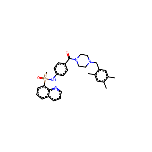 Cc1cc(C)c(CN2CCN(C(=O)c3ccc(N[SH](C)(=O)c4cccc5cccnc45)cc3)CC2)cc1C